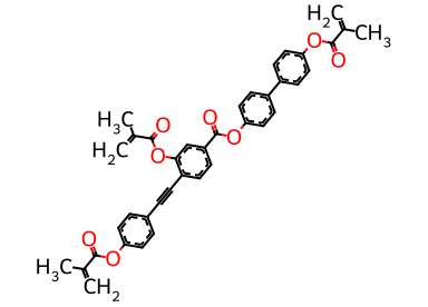 C=C(C)C(=O)Oc1ccc(C#Cc2ccc(C(=O)Oc3ccc(-c4ccc(OC(=O)C(=C)C)cc4)cc3)cc2OC(=O)C(=C)C)cc1